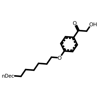 CCCCCCCCCCCCCCCCOc1ccc(C(=O)CO)cc1